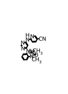 CN(c1ccccc1Nc1cc(Nc2ccc(C#N)cn2)ncn1)S(C)(=O)=O